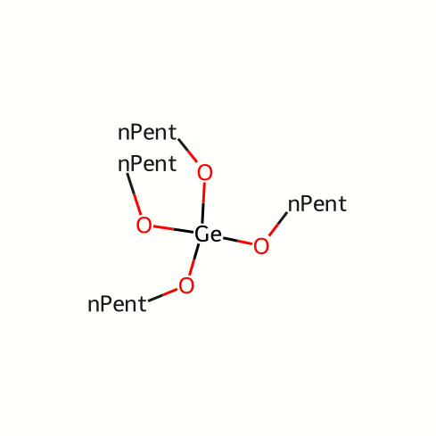 CCCCC[O][Ge]([O]CCCCC)([O]CCCCC)[O]CCCCC